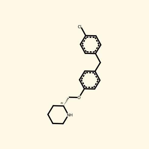 Clc1ccc(Cc2ccc(OC[C@H]3CCCCN3)cc2)cc1